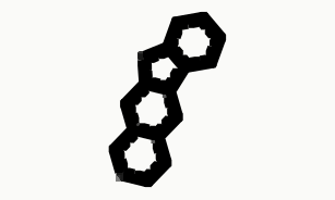 c1ccc2c(c1)sc1cc3cnccc3cc12